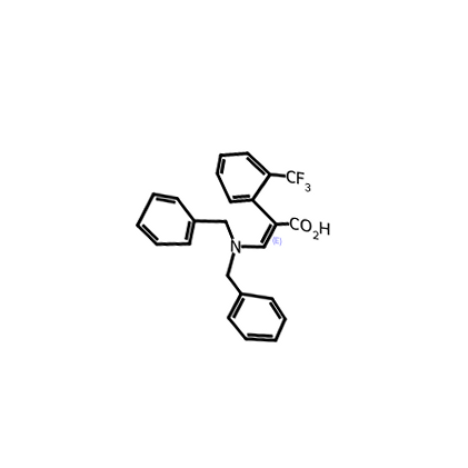 O=C(O)/C(=C/N(Cc1ccccc1)Cc1ccccc1)c1ccccc1C(F)(F)F